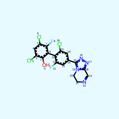 Oc1c(Cl)cc(Cl)c(F)c1-c1c(F)cc(-c2nnc3n2CCN=C3)cc1Cl